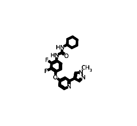 Cn1cc(-c2cc(Oc3ccc(NC(=O)NC4CCCCC4)c(F)c3F)ccn2)cn1